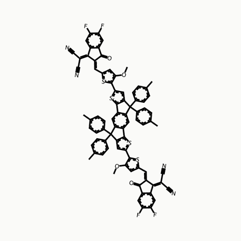 COc1cc(/C=C2\C(=O)c3cc(F)c(F)cc3C2=C(C#N)C#N)sc1-c1cc2c(s1)-c1cc3c(cc1C2(c1ccc(C)cc1)c1ccc(C)cc1)-c1sc(-c2sc(/C=C4\C(=O)c5cc(F)c(F)cc5C4=C(C#N)C#N)cc2OC)cc1C3(c1ccc(C)cc1)c1ccc(C)cc1